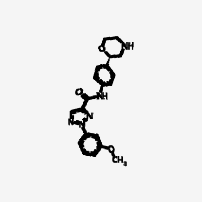 COc1cccc(-n2ncc(C(=O)Nc3ccc([C@H]4CNCCO4)cc3)n2)c1